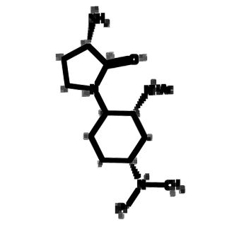 CC(=O)N[C@@H]1C[C@H](N(C)C(C)C)CCC1N1CC[C@H](N)C1=O